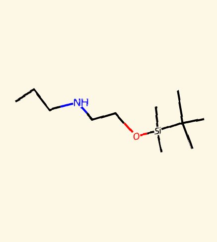 CCCNCCO[Si](C)(C)C(C)(C)C